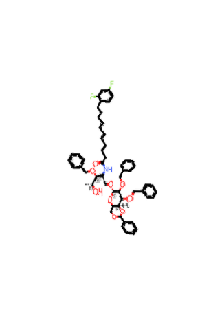 C[C@@H](O)[C@@H](OCc1ccccc1)[C@H](CO[C@H]1OC2COC(c3ccccc3)O[C@@H]2C(OCc2ccccc2)C1OCc1ccccc1)NC(=O)CCCCCCCCCCc1ccc(F)cc1F